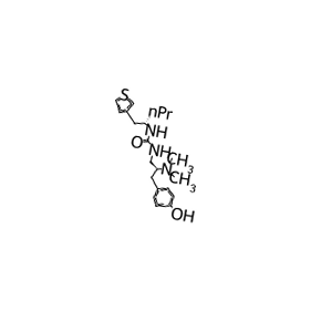 CCC[C@@H](Cc1ccsc1)NC(=O)NC[C@H](Cc1ccc(O)cc1)N(C)C